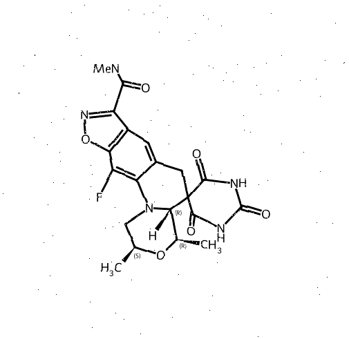 CNC(=O)c1noc2c(F)c3c(cc12)CC1(C(=O)NC(=O)NC1=O)[C@@H]1[C@@H](C)O[C@@H](C)CN31